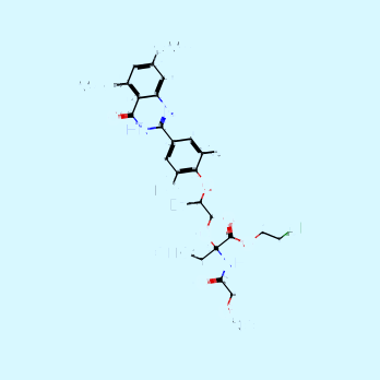 CCC(COC(CC=O)(NC(=O)CO[N+](=O)[O-])C(=O)OCCCl)Oc1c(C)cc(-c2nc3cc(OC)cc(OC)c3c(=O)[nH]2)cc1C